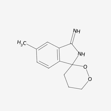 Cc1ccc2c(c1)C(=N)NC21CCCOO1